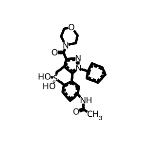 CC(=O)Nc1ccc2c(c1)-c1c(c(C(=O)N3CCOCC3)nn1-c1ccccc1)CS2(O)O